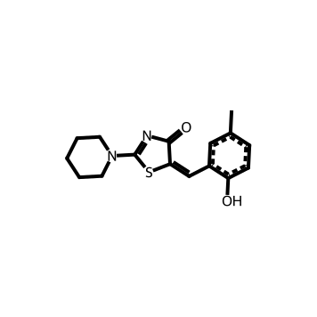 Cc1ccc(O)c(C=C2SC(N3CCCCC3)=NC2=O)c1